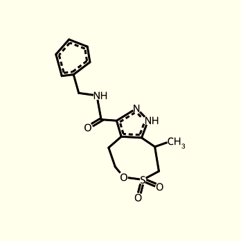 CC1CS(=O)(=O)OCCc2c(C(=O)NCc3ccccc3)n[nH]c21